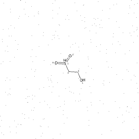 O=[SH](=O)CCO